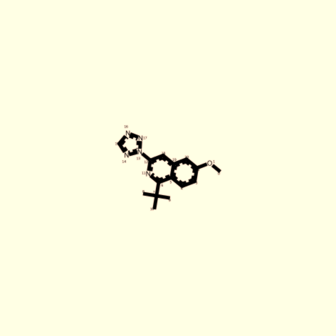 COc1ccc2c(C(C)(C)C)nc(-n3ncnn3)cc2c1